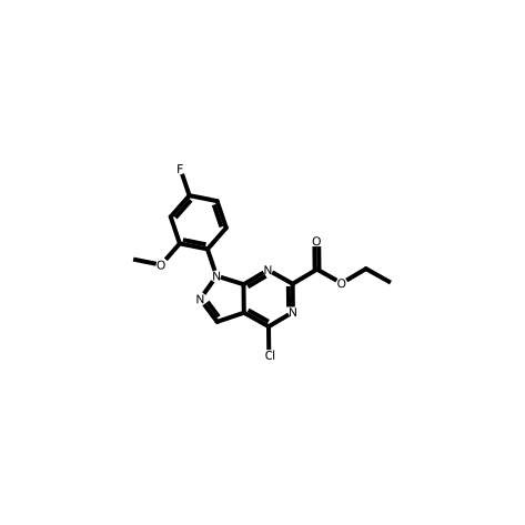 CCOC(=O)c1nc(Cl)c2cnn(-c3ccc(F)cc3OC)c2n1